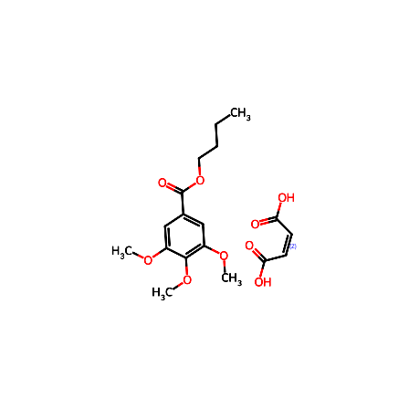 CCCCOC(=O)c1cc(OC)c(OC)c(OC)c1.O=C(O)/C=C\C(=O)O